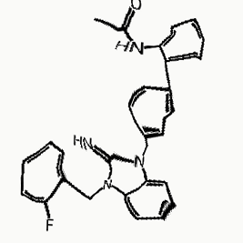 CC(=O)Nc1ccccc1-c1ccc(-n2c(=N)n(Cc3ccccc3F)c3ccccc32)cc1